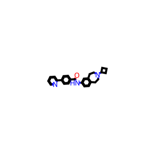 O=C(Nc1ccc2c(c1)CCN(C1CCC1)CC2)c1ccc(-c2ccccn2)cc1